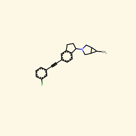 CC1C2CN(C3CCc4cc(C#Cc5cccc(F)c5)ccc43)CC12